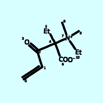 C=CC(=O)C(CC)(C(=O)[O-])[N+](C)(C)CC